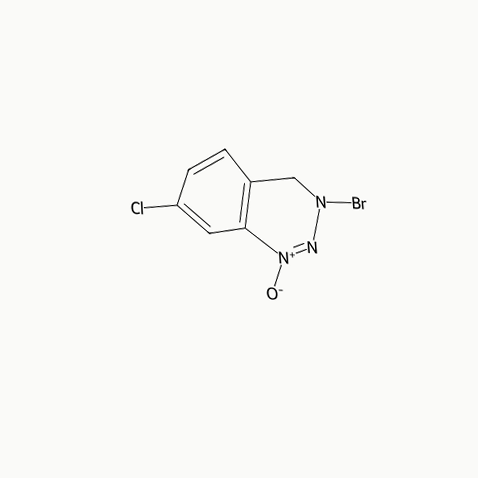 [O-][N+]1=NN(Br)Cc2ccc(Cl)cc21